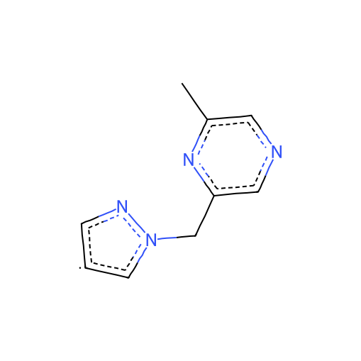 Cc1cncc(Cn2c[c]cn2)n1